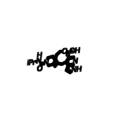 CC(C)NC(=O)N1CCC2(CCOB(O)c3cnc4[nH]ccc4c3CC2C)CC1